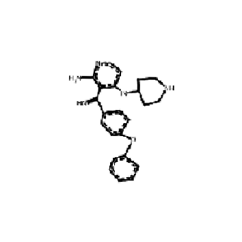 N=C(c1ccc(Oc2ccccc2)cc1)c1c(NC2CCNCC2)ccnc1N